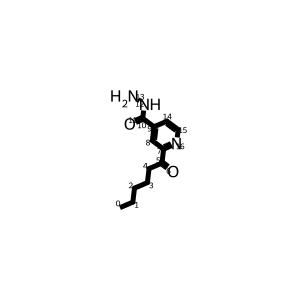 CCCCCC(=O)c1cc(C(=O)NN)ccn1